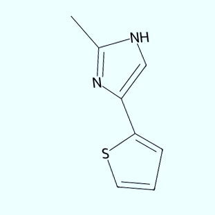 Cc1nc(-c2cccs2)c[nH]1